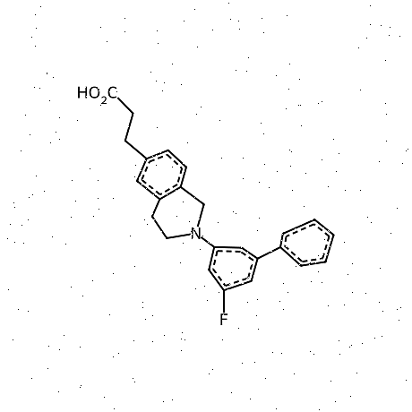 O=C(O)CCc1ccc2c(c1)CCN(c1cc(F)cc(-c3ccccc3)c1)C2